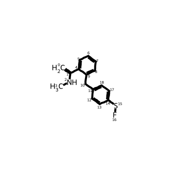 C=C(NC)c1ccccc1Cc1ccc(SF)cc1